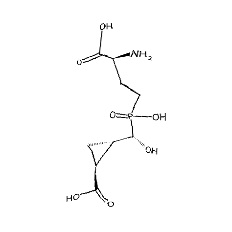 N[C@@H](CCP(=O)(O)[C@H](O)[C@H]1C[C@@H]1C(=O)O)C(=O)O